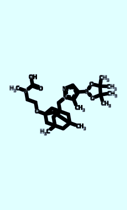 Cc1c(B2OC(C)(C)C(C)(C)O2)cnn1CC12CC3(C)CC(C)(C1)CC(OCCN(C)C(=O)O)(C3)C2